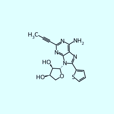 CC#Cc1nc(N)c2nc(-c3cccs3)n([C@@H]3OC[C@@H](O)[C@H]3O)c2n1